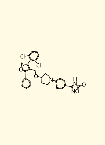 O=c1[nH]c(-c2ccc(N3CCC(OCc4c(-c5c(Cl)cccc5Cl)noc4-c4ccccc4)CC3)cc2)no1